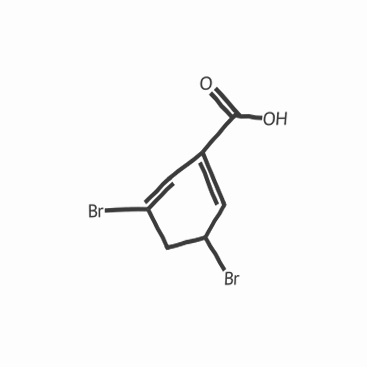 O=C(O)C1=CC(Br)CC(Br)=C1